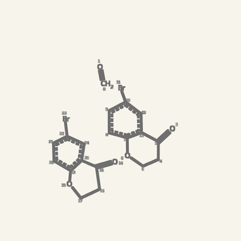 C=O.O=C1CCOc2ccc(Br)cc21.O=C1CCOc2ccc(Br)cc21